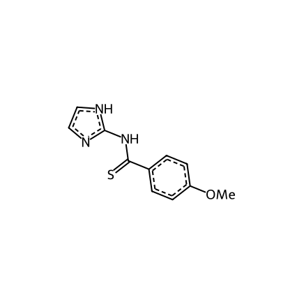 COc1ccc(C(=S)Nc2ncc[nH]2)cc1